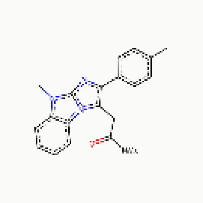 CNC(=O)Cc1c(-c2ccc(C)cc2)nc2n(C)c3ccccc3n12